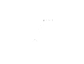 CCCCCCCCCCCCCCCCCC1CCCC1